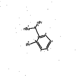 [CH2]CCC(CCCC)c1ccccc1C(C)C